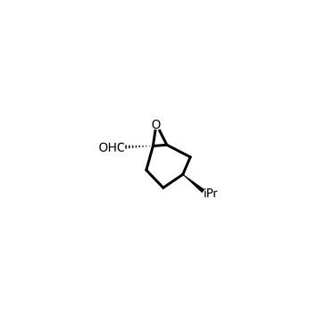 CC(C)[C@H]1CC[C@@]2(C=O)OC2C1